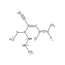 C#C/C(=C/C(Cl)=C(\C)F)C(CC)NNC